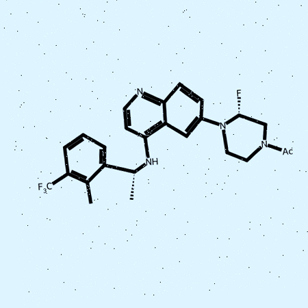 CC(=O)N1CCN(c2ccc3nccc(N[C@H](C)c4cccc(C(F)(F)F)c4C)c3c2)[C@H](F)C1